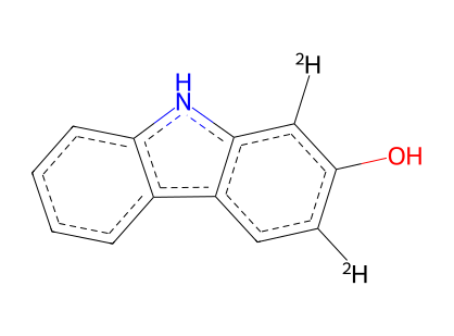 [2H]c1cc2c([nH]c3ccccc32)c([2H])c1O